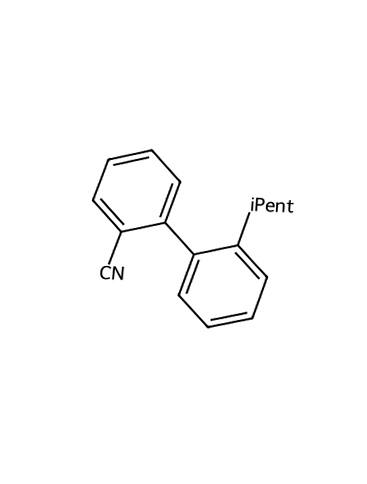 CCCC(C)c1ccccc1-c1ccccc1C#N